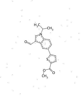 COC(=O)c1ccc(-c2ccc3c(c2)c(C=O)cn3C(C)C)s1